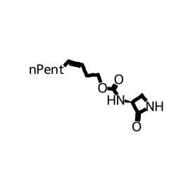 CCCCC/C=C\CCOC(=O)N[C@H]1CNC1=O